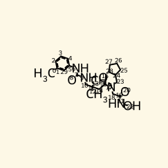 Cc1cccc(NC(=O)NCC(C)(C)CC(=O)N(CC(=O)NO)CC2CCCC2)c1